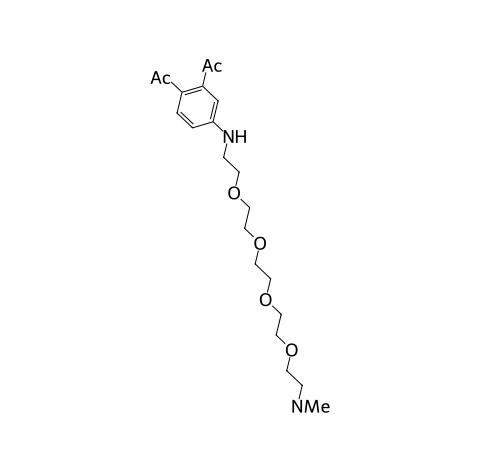 CNCCOCCOCCOCCOCCNc1ccc(C(C)=O)c(C(C)=O)c1